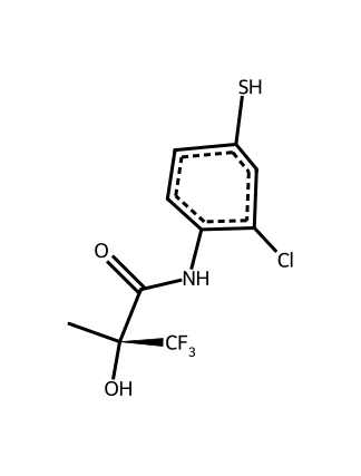 C[C@@](O)(C(=O)Nc1ccc(S)cc1Cl)C(F)(F)F